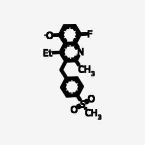 CCc1c(Cc2ccc(S(C)(=O)=O)cc2)c(C)nc2c(F)ccc([O])c12